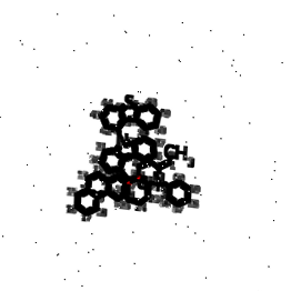 C/C=C(\C=C/C(C)c1ccc2c(ccc3ccccc32)c1)N(C1=CC=CCC(c2cccc3c2c2ccccc2n3-c2cccc3sc4ccccc4c23)=C1)c1ccccc1